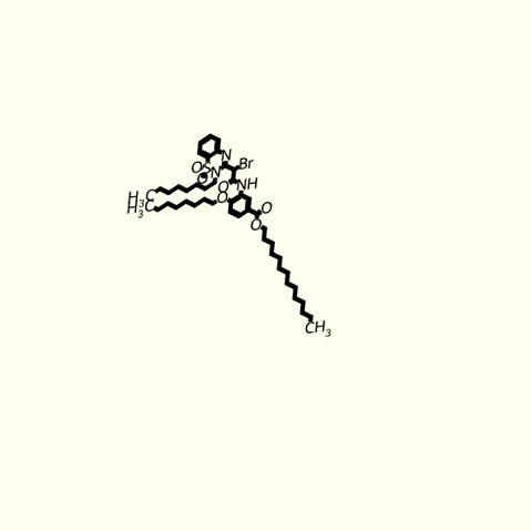 CCCCCCCCCCCCCCOC(=O)c1ccc(OCCCCCCCC)c(NC(=O)C(Br)C2=Nc3ccccc3S(=O)(=O)N2CCCCCCCC)c1